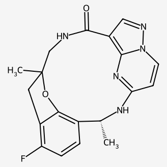 C[C@H]1Nc2ccn3ncc(c3n2)C(=O)NCC2(C)Cc3c(F)ccc1c3O2